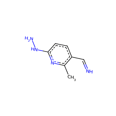 Cc1nc(NN)ccc1C=N